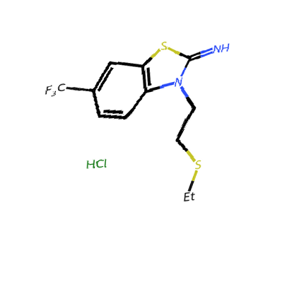 CCSCCn1c(=N)sc2cc(C(F)(F)F)ccc21.Cl